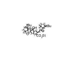 CCOC(=O)c1cc(/C=C/C(=O)C2=CN(C(C)(C)C)CCC2(C)C)c(C(O)OCC)cc1/C=C/C(=O)C1=CN(C(C)(C)C)CCC1(C)C